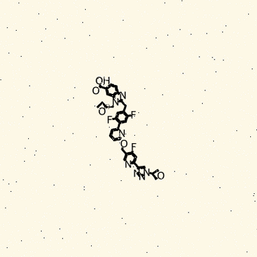 O=C(O)c1ccc2nc(Cc3cc(F)c(-c4cccc(OCc5cnc(-c6cn(C7COC7)nn6)cc5F)n4)cc3F)n(C[C@@H]3CCO3)c2c1